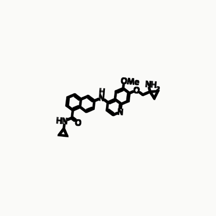 COc1cc2c(Nc3ccc4c(C(=O)NC5CC5)cccc4c3)ccnc2cc1OCC1(N)CC1